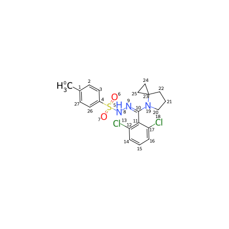 Cc1ccc(S(=O)(=O)N/N=C(\c2c(Cl)cccc2Cl)N2CCCC23CC3)cc1